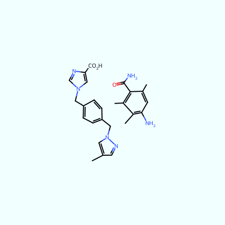 Cc1cc(N)c(C)c(C)c1C(N)=O.Cc1cnn(Cc2ccc(Cn3cnc(C(=O)O)c3)cc2)c1